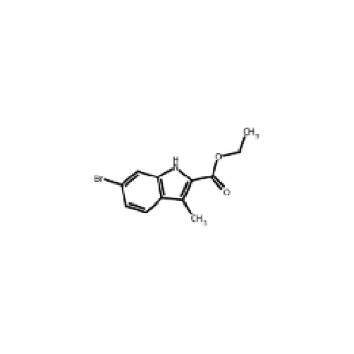 CCOC(=O)c1[nH]c2cc(Br)ccc2c1C